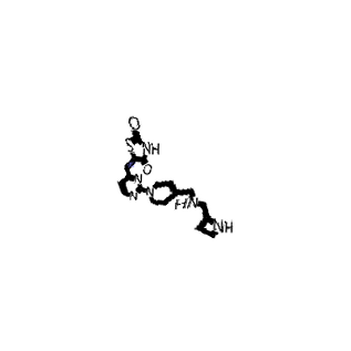 O=C1NC(=O)/C(=C\c2ccnc(N3CCC(CNCC4CCN4)CC3)n2)S1